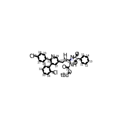 CC(C)(C)OC(=O)N/C(=N\S(=O)(=O)c1ccccc1)NCc1cnc(-c2ccc(Cl)cc2)c(-c2ccccc2Cl)c1